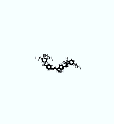 COc1ccc2c(c1)[C@]1(C[C@H]1c1ccc3c(/C=C/c4ccc(CN5C[C@@H](C)N(C)[C@@H](C)C5)cc4)n[nH]c3c1)C(=O)N2